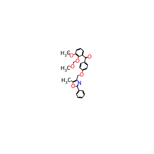 COCOc1c(OC)cccc1C(=O)c1ccc(OCc2nc(-c3ccccc3)oc2C)cc1